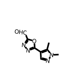 Cc1c(-c2nnc(C=O)o2)cnn1C